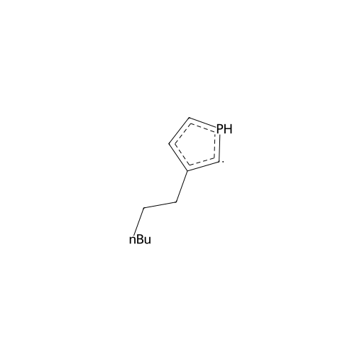 CCCCCCc1[c][pH]cc1